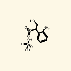 Nc1ccccc1C(CO)[SH](=O)=O.O=S(=O)(O)O